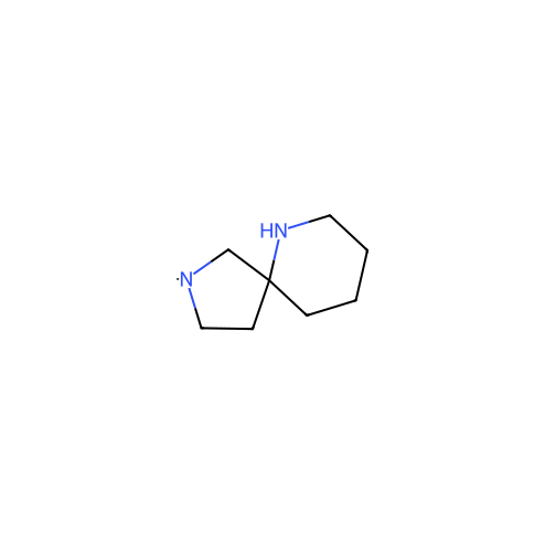 C1CCC2(CC[N]C2)NC1